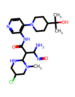 CN1CC(Cl)CNC1C(C(=O)Nc1cnccc1N1CCC(C(C)(C)O)CC1)C(N)N=O